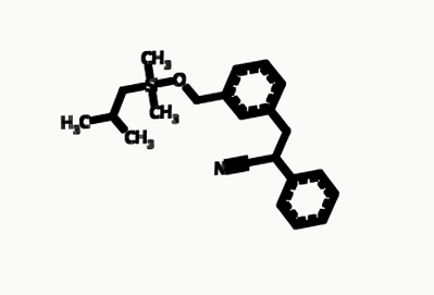 CC(C)C[Si](C)(C)OCc1cccc(CC(C#N)c2ccccc2)c1